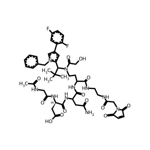 CC(=O)NCC(=O)N[C@H](CC(=O)O)C(=O)NC(CC(N)=O)C(=O)NC(CCN(C(=O)CO)C(c1cc(-c2cc(F)ccc2F)cn1Cc1ccccc1)C(C)(C)C)C(=O)NCCNC(=O)CN1C(=O)C=CC1=O